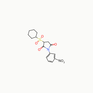 O=C1CC(S(=O)(=O)C2CCCCC2)C(=O)N1c1cccc([N+](=O)[O-])c1